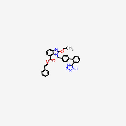 CCOc1nc2cccc(C(=O)O/C=C/c3ccccc3)c2n1Cc1ccc(-c2ccccc2-c2nnn[nH]2)cc1